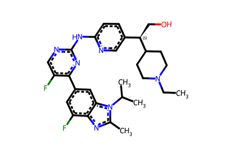 CCN1CCC([C@H](CO)c2ccc(Nc3ncc(F)c(-c4cc(F)c5nc(C)n(C(C)C)c5c4)n3)nc2)CC1